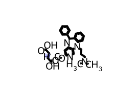 COc1cc2c(cn1)N(CCCN(C)C)c1ccccc1C(c1ccccc1)=N2.O=C(O)/C=C/C(=O)O